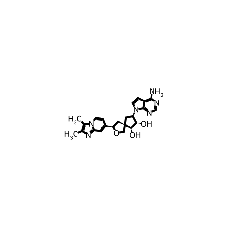 Cc1nc2cc([C@H]3C[C@@]4(CO3)C[C@@H](n3ccc5c(N)ncnc53)[C@H](O)[C@@H]4O)ccn2c1C